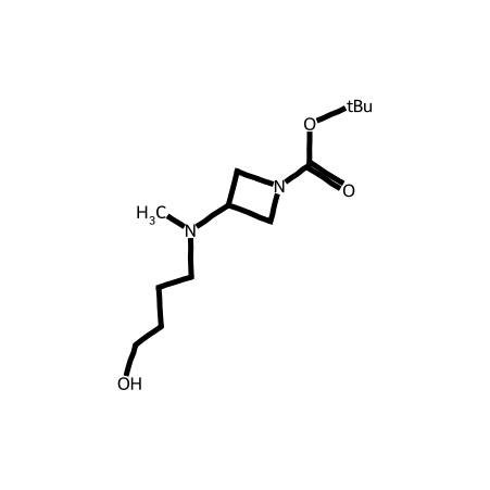 CN(CCCCO)C1CN(C(=O)OC(C)(C)C)C1